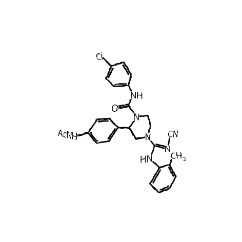 CC(=O)Nc1ccc(C2CN(/C(=N\C#N)Nc3ccccc3C)CCN2C(=O)Nc2ccc(Cl)cc2)cc1